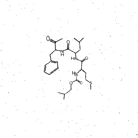 CSCCC(NC(=O)OCC(C)C)C(=O)NC(CC(C)C)C(=O)NC(Cc1ccccc1)C(C)=O